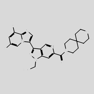 O=C(c1cc2c(cn1)c(-c1cnc3c(F)cc(F)cn13)nn2CC(F)(F)F)N1CCC2(CCOCC2)CC1